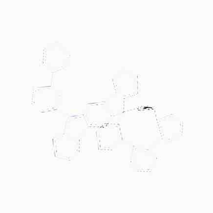 c1ccc(-c2cccc(-n3c4ccccc4c4cc5c(cc43)-c3ccccc3C53c4ccccc4-c4ccccc4-c4ccccc4-c4ccccc43)c2)cc1